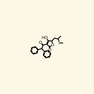 CSC(C)CC1OC(=O)C(C(=O)C(c2ccccc2)c2ccccc2)=C1O